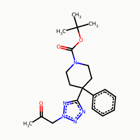 CC(=O)Cn1nnc(C2(c3ccccc3)CCN(C(=O)OC(C)(C)C)CC2)n1